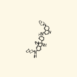 c1cc(Nc2ccc(-c3nc4cc(NC5CC6(CCC6)C5)ccc4[nH]3)cc2)c2cc(N3CCOCC3)ccc2n1